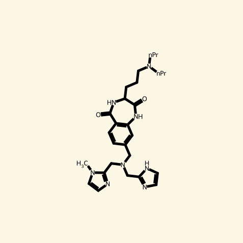 CCCN(CCC)CCCC1NC(=O)c2ccc(CN(Cc3ncc[nH]3)Cc3nccn3C)cc2NC1=O